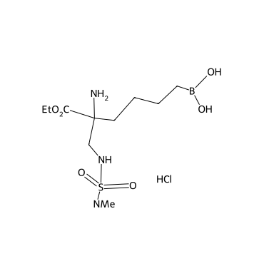 CCOC(=O)C(N)(CCCCB(O)O)CNS(=O)(=O)NC.Cl